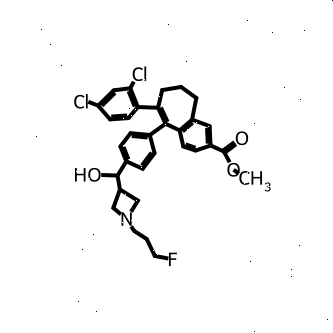 COC(=O)c1ccc2c(c1)CCCC(c1ccc(Cl)cc1Cl)=C2c1ccc(C(O)C2CN(CCCF)C2)cc1